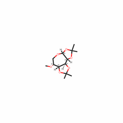 CO[C@@H]1CO[C@@H]2OC(C)(C)O[C@@H]2[C@H]2OC(C)(C)O[C@@H]21